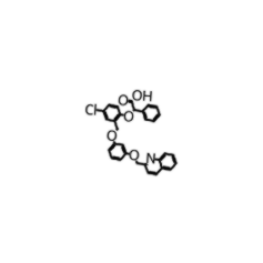 O=C(O)C(Oc1ccc(Cl)cc1COc1cccc(OCc2ccc3ccccc3n2)c1)c1ccccc1